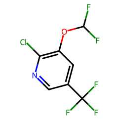 FC(F)Oc1cc(C(F)(F)F)cnc1Cl